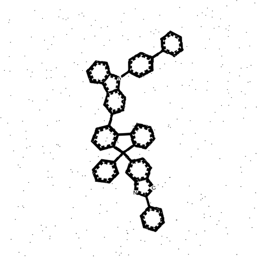 c1ccc(-c2ccc(-n3c4ccccc4c4cc(-c5cccc6c5-c5ccccc5C6(c5ccccc5)c5ccc6oc(-c7ccccc7)nc6c5)ccc43)cc2)cc1